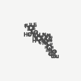 Cc1cc(NC(=O)[C@H](O)c2cc(F)cc(F)c2)ccc1-n1nc(C2=CCN(C(=O)OC(C)(C)C)CC2)c2ncnc(N)c21